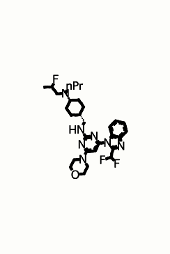 CCCN(CC(C)F)[C@H]1CC[C@H](CNc2nc(N3CCOCC3)cc(-n3c(C(F)F)nc4ccccc43)n2)CC1